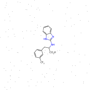 O=C(O)C(Cc1cccc(C(F)(F)F)c1)Nc1nc2ccccc2[nH]1